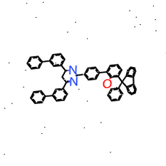 c1ccc(-c2cccc(C3=NC(c4ccc(-c5cccc6c5Oc5ccccc5C65c6ccccc6-c6ccccc65)cc4)=NC(c4cccc(-c5ccccc5)c4)C3)c2)cc1